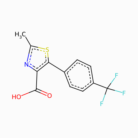 Cc1nc(C(=O)O)c(-c2ccc(C(F)(F)F)cc2)s1